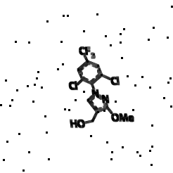 COc1nn(-c2c(Cl)cc(C(F)(F)F)cc2Cl)cc1CO